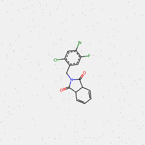 O=C1C2C=CC=CC2C(=O)N1Cc1cc(F)c(Br)cc1Cl